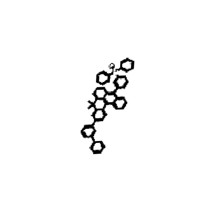 CC1(C)c2cc(-c3cccc(-c4ccccc4)c3)ccc2-c2c3ccccc3c(-c3cccc(P(=O)(c4ccccc4)c4ccccc4)c3)c3cccc1c23